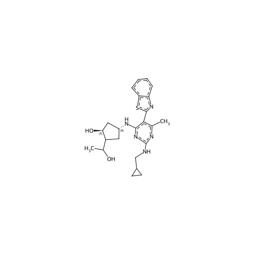 Cc1nc(NCC2CC2)nc(N[C@@H]2CC(C(C)O)[C@@H](O)C2)c1-c1nc2ccccc2s1